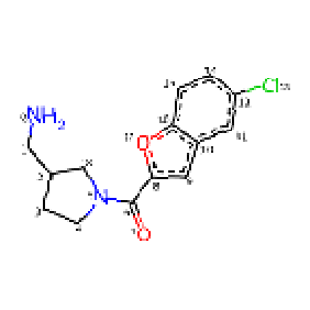 NCC1CCN(C(=O)c2cc3cc(Cl)ccc3o2)C1